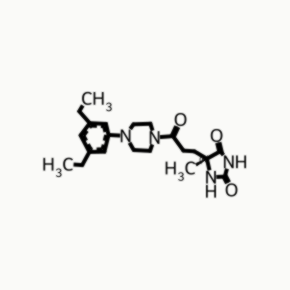 CCc1cc(CC)cc(N2CCN(C(=O)CC[C@@]3(C)NC(=O)NC3=O)CC2)c1